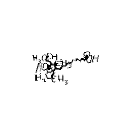 CC(C)CCC(CCCCCCCCCCCC(=O)O)C(C)C(CCC(C)C)C(=O)O